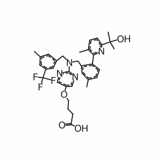 Cc1cc(CN(Cc2cc(C)ccc2-c2nc(C(C)(C)O)ccc2C)c2ncc(OCCCC(=O)O)cn2)cc(C(F)(F)F)c1